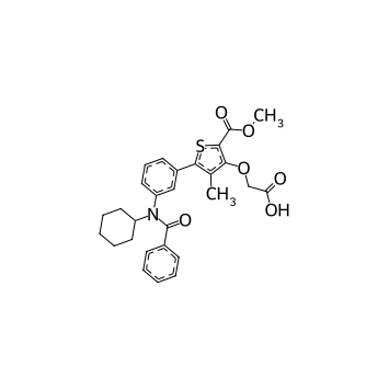 COC(=O)c1sc(-c2cccc(N(C(=O)c3ccccc3)C3CCCCC3)c2)c(C)c1OCC(=O)O